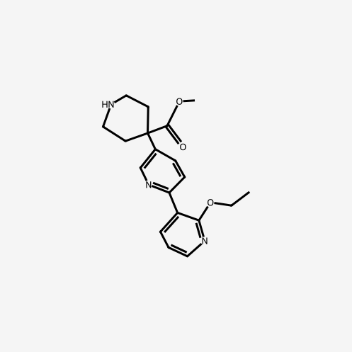 CCOc1ncccc1-c1ccc(C2(C(=O)OC)CCNCC2)cn1